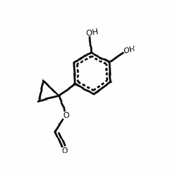 O=COC1(c2ccc(O)c(O)c2)CC1